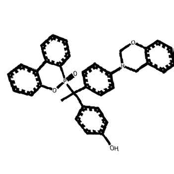 CC(c1ccc(O)cc1)(c1ccc(N2COc3ccccc3C2)cc1)P1(=O)Oc2ccccc2-c2ccccc21